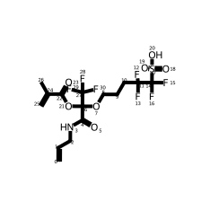 C=CCNC(=O)C(OCCCC(F)(F)C(F)(F)S(=O)(=O)O)(OC(=O)C(=C)C)C(F)(F)F